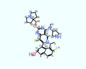 CCc1c(F)ccc2cc(O)cc(-c3ncc4c(N(C)C5CCNC5)nc(OCC56CCCN5CCC6)nc4c3F)c12